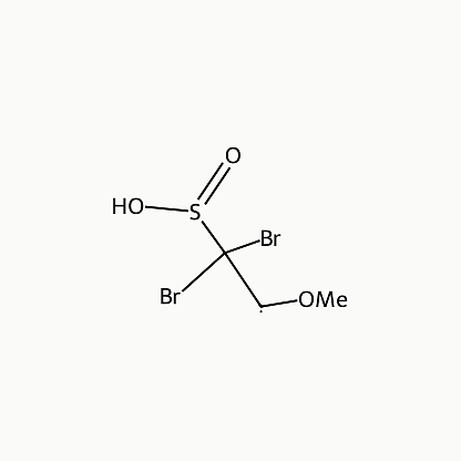 CO[CH]C(Br)(Br)S(=O)O